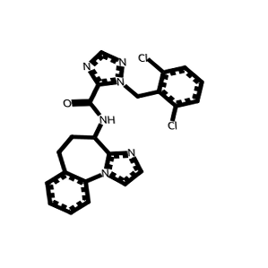 O=C(NC1CCc2ccccc2-n2ccnc21)c1ncnn1Cc1c(Cl)cccc1Cl